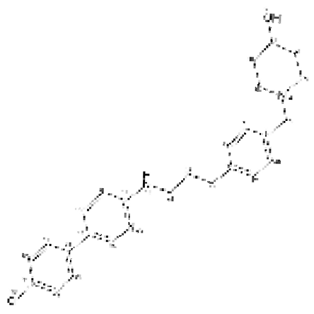 OC1CCN(Cc2ccc(CCCNc3ccc(-c4ccc(Cl)cc4)cn3)cc2)CC1